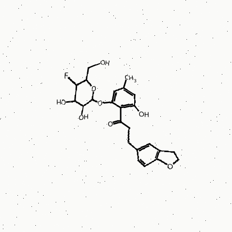 Cc1cc(O)c(C(=O)CCc2ccc3c(c2)CCO3)c(OC2OC(CO)C(F)C(O)C2O)c1